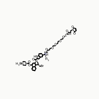 C/C(=N\NC(=O)CCOCCOCCOCCOCCNC(=O)CCN1C(=O)C=CC1=O)c1ccc2[nH]c(C(=O)N3C[C@@H](CBr)c4c3cc(OC(=O)N3CCN(C)CC3)c3ccccc43)cc2c1